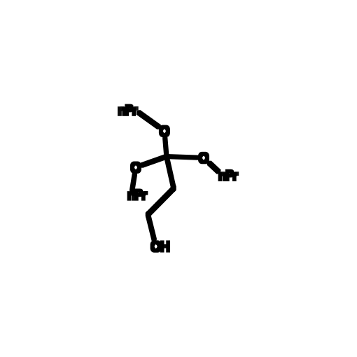 CCCOC(CCO)(OCCC)OCCC